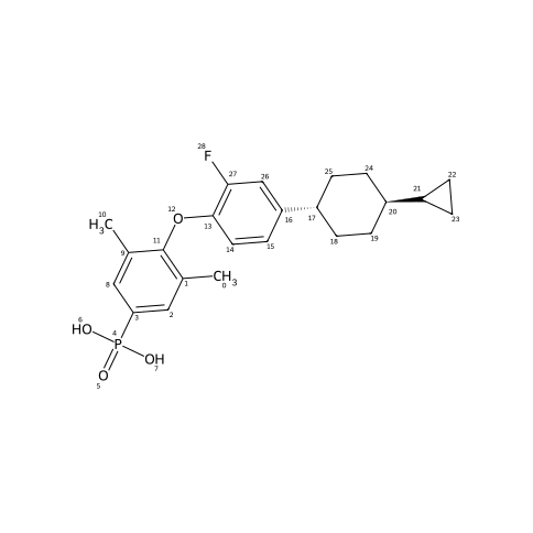 Cc1cc(P(=O)(O)O)cc(C)c1Oc1ccc([C@H]2CC[C@H](C3CC3)CC2)cc1F